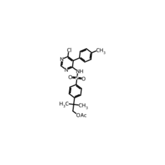 CC(=O)OCC(C)(C)c1ccc(S(=O)(=O)Nc2ncnc(Cl)c2-c2ccc(C)cc2)cc1